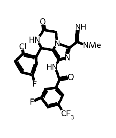 CNC(=N)c1nc(NC(=O)c2cc(F)cc(C(F)(F)F)c2)c2n1CC(=O)NC2c1cc(F)ccc1Cl